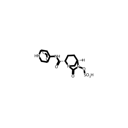 O=C(NC1CC2CCCC1CN2)[C@@H]1CC[C@@H]2CN1C(=O)N2OS(=O)(=O)O